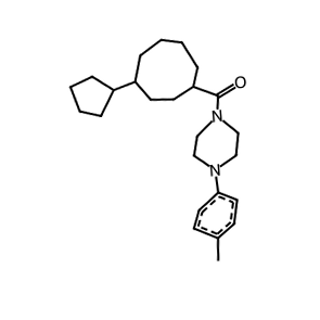 Cc1ccc(N2CCN(C(=O)C3CCCCC(C4CCCC4)CC3)CC2)cc1